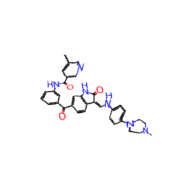 Cc1cncc(C(=O)Nc2cccc(C(=O)c3ccc4c(c3)NC(=O)C4=CNc3ccc(N4CCN(C)CC4)cc3)c2)c1